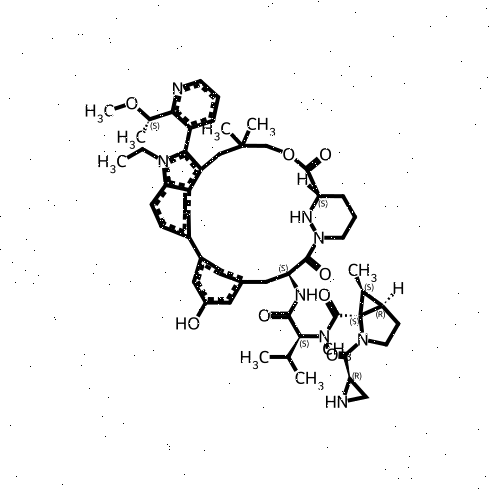 CCn1c(-c2cccnc2[C@H](C)OC)c2c3cc(ccc31)-c1cc(O)cc(c1)C[C@H](NC(=O)[C@H](C(C)C)N(C)C(=O)[C@]13[C@H](CCN1C(=O)[C@H]1CN1)[C@@H]3C)C(=O)N1CCC[C@H](N1)C(=O)OCC(C)(C)C2